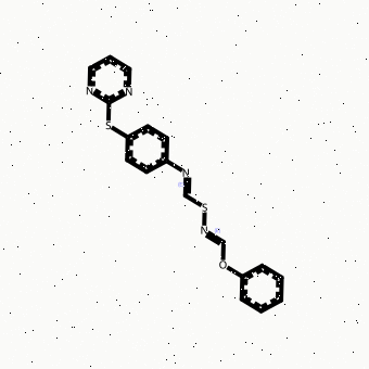 C(=N\S/C=N/c1ccc(Sc2ncccn2)cc1)/Oc1ccccc1